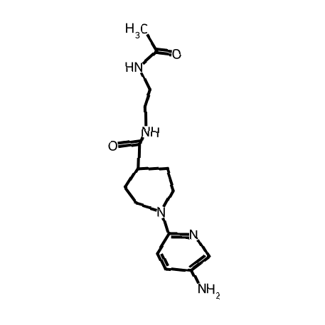 CC(=O)NCCNC(=O)C1CCN(c2ccc(N)cn2)CC1